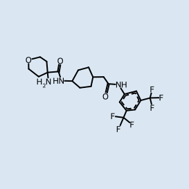 NC1(C(=O)NC2CCC(CC(=O)Nc3cc(C(F)(F)F)cc(C(F)(F)F)c3)CC2)CCOCC1